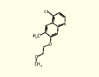 COCCOc1cc2nccc(Cl)c2cc1C